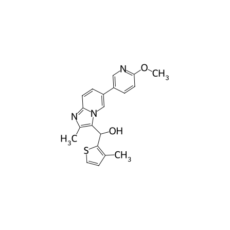 COc1ccc(-c2ccc3nc(C)c(C(O)c4sccc4C)n3c2)cn1